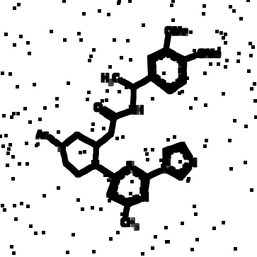 COc1ccc(C(C)NC(=O)CC2CN(C(C)=O)CCN2c2cc(C)nc(-n3ccnc3)n2)cc1OC